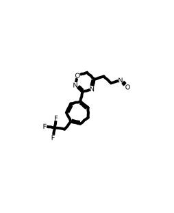 O=NCCC1=NC(C2=CCC=C(CC(F)(F)F)C=C2)=NOC1